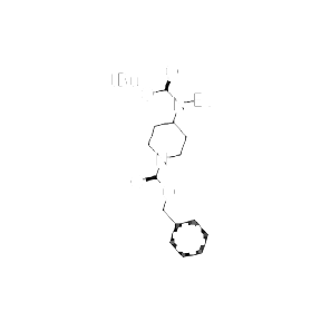 CCN(C(=O)OC(C)(C)C)C1CCN(C(=O)OCc2ccccc2)CC1